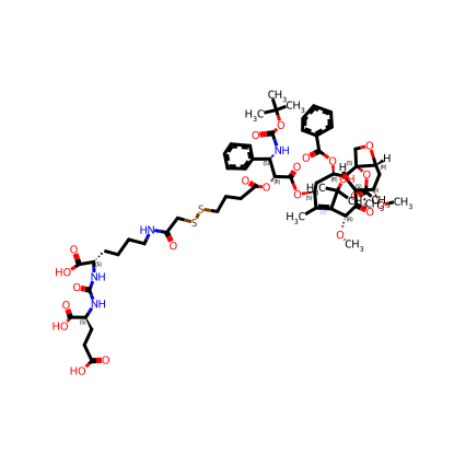 CO[C@H]1C[C@H]2OC[C@@]2(OC(C)=O)[C@H]2[C@H](OC(=O)c3ccccc3)C[C@H](OC(=O)[C@H](OC(=O)CCCSSCC(=O)NCCCC[C@H](NC(=O)N[C@@H](CCC(=O)O)C(=O)O)C(=O)O)[C@@H](NC(=O)OC(C)(C)C)c3ccccc3)/C(C)=C(\C(C)(C)O)[C@@H](OC)C(=O)[C@]12C